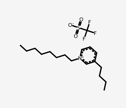 CCCCCCCC[n+]1cccc(CCCC)c1.O=S(=O)([O-])C(F)(F)F